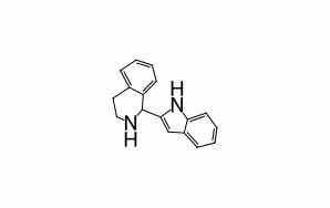 c1ccc2c(c1)CCNC2c1cc2ccccc2[nH]1